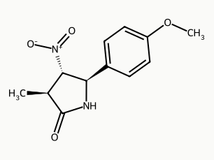 COc1ccc([C@H]2NC(=O)[C@@H](C)[C@@H]2[N+](=O)[O-])cc1